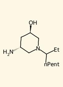 CCCCCC(CC)N1C[C@H](N)C[C@@H](O)C1